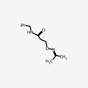 CC(C)=NOCCC(=O)NCC(C)C